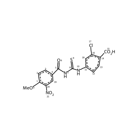 COc1ccc(C(=O)NC(=S)Nc2ccc(C(=O)O)c(Cl)c2)cc1[N+](=O)[O-]